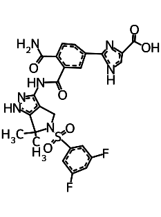 CC1(C)c2[nH]nc(NC(=O)c3cc(-c4nc(C(=O)O)c[nH]4)ccc3C(N)=O)c2CN1S(=O)(=O)c1cc(F)cc(F)c1